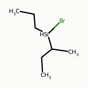 CCC[SiH](Br)C(C)CC